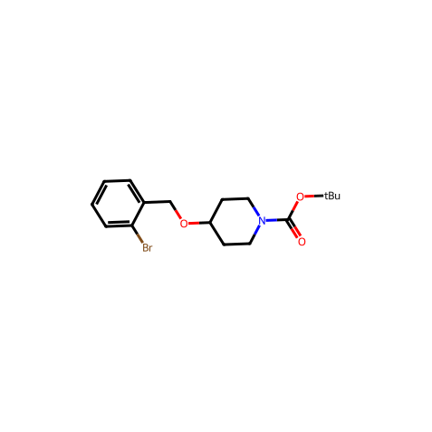 CC(C)(C)OC(=O)N1CCC(OCc2ccccc2Br)CC1